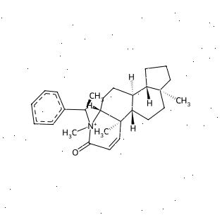 C[C@H](c1ccccc1)[N+]1(C)C(=O)C=C[C@@]2(C)[C@H]1CC[C@H]1[C@@H]3CCC[C@@]3(C)CC[C@@H]12